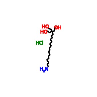 Cl.NCCCCCCCCCCCCCCCCCC(CCO)(CCO)CCO